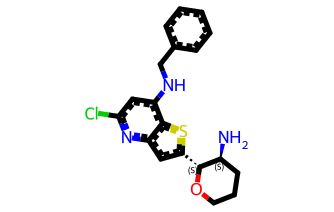 N[C@H]1CCCO[C@@H]1c1cc2nc(Cl)cc(NCc3ccccc3)c2s1